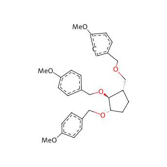 COc1ccc(COC[C@@H]2CC[C@H](OCc3ccc(OC)cc3)[C@H]2OCc2ccc(OC)cc2)cc1